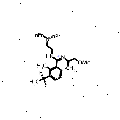 C=C(COC)/N=C(/NCCN(CCC)CCC)c1cccc(C(C)(F)F)c1C